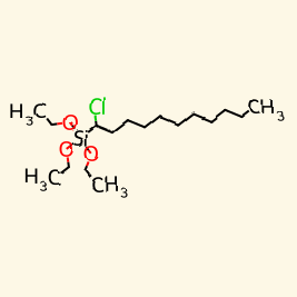 CCCCCCCCCCC(Cl)[Si](OCC)(OCC)OCC